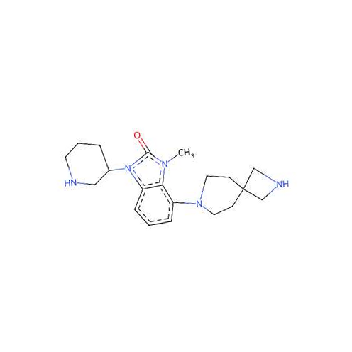 Cn1c(=O)n(C2CCCNC2)c2cccc(N3CCC4(CC3)CNC4)c21